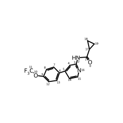 O=C(Nc1cc(-c2ccc(OC(F)(F)F)cc2)ccn1)C1CC1